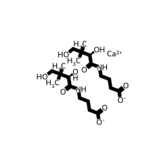 CC(C)(CO)[C@@H](O)C(=O)NCCCC(=O)[O-].CC(C)(CO)[C@@H](O)C(=O)NCCCC(=O)[O-].[Ca+2]